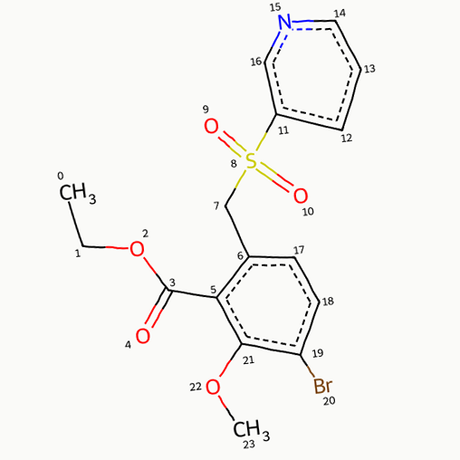 CCOC(=O)c1c(CS(=O)(=O)c2cccnc2)ccc(Br)c1OC